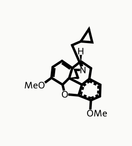 COC1=CC=C2[C@@H]3Cc4ccc(OC)c5c4[C@]2(CCN3CC2CC2)C1O5